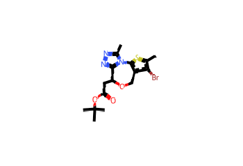 Cc1sc2c(c1Br)COC(CC(=O)OC(C)(C)C)c1nnc(C)n1-2